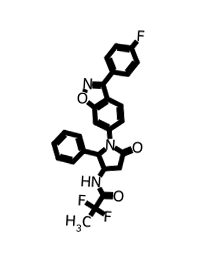 CC(F)(F)C(=O)NC1CC(=O)N(c2ccc3c(-c4ccc(F)cc4)noc3c2)C1c1ccccc1